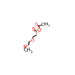 COCCOCC[S@](=O)OC(C)=O